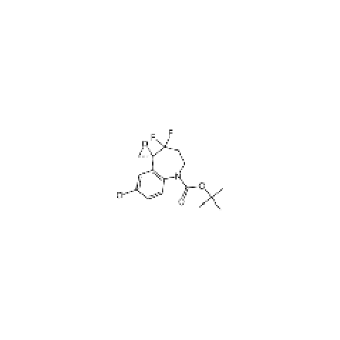 CC(C)(C)OC(=O)N1CCC(F)(F)[C@@]2(CO2)c2cc(Cl)ccc21